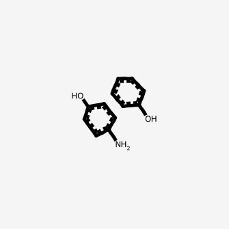 Nc1ccc(O)cc1.Oc1ccccc1